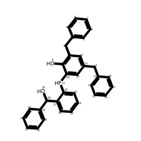 Oc1c(Cc2ccccc2)cc(Cc2ccccc2)cc1Pc1ccccc1C(O)c1ccccc1